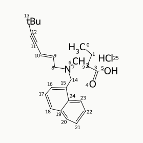 CCCC(=O)O.CN(CC=CC#CC(C)(C)C)Cc1cccc2ccccc12.Cl